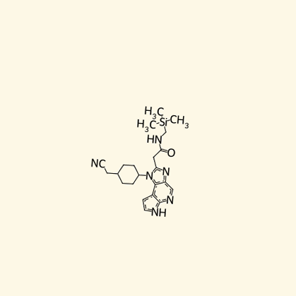 C[Si](C)(C)CNC(=O)Cc1nc2cnc3[nH]ccc3c2n1C1CCC(CC#N)CC1